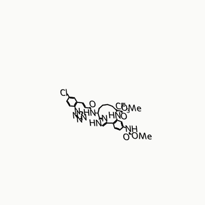 COC(=O)Nc1ccc2c(c1)NC(C(=O)OC)(C(F)(F)F)CCCC[C@H](NC(=O)/C=C/c1cc(Cl)ccc1-n1cnnn1)c1nc-2c[nH]1